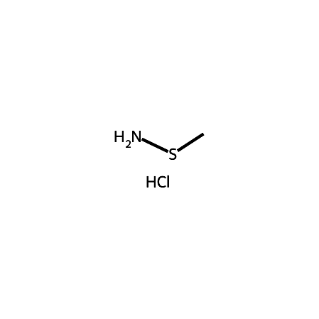 CSN.Cl